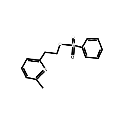 Cc1cccc(CCOS(=O)(=O)c2ccccc2)n1